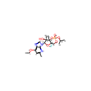 CCOc1cc(C)nc2c1ncn2[C@@H]1O[C@]2(F)COP(=O)(OC(C)C)O[C@H]2[C@@]1(C)O